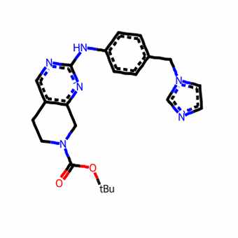 CC(C)(C)OC(=O)N1CCc2cnc(Nc3ccc(Cn4ccnc4)cc3)nc2C1